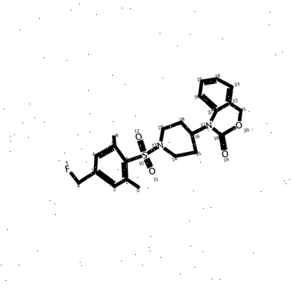 Cc1cc(CF)cc(C)c1S(=O)(=O)N1CCC(N2C(=O)OCc3ccccc32)CC1